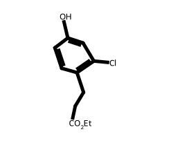 CCOC(=O)CCc1ccc(O)cc1Cl